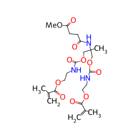 C=C(C)C(=O)OCCNC(=O)OCC(C)(COC(=O)NCCOC(=O)C(=C)C)NC(=O)CCC(=O)OC